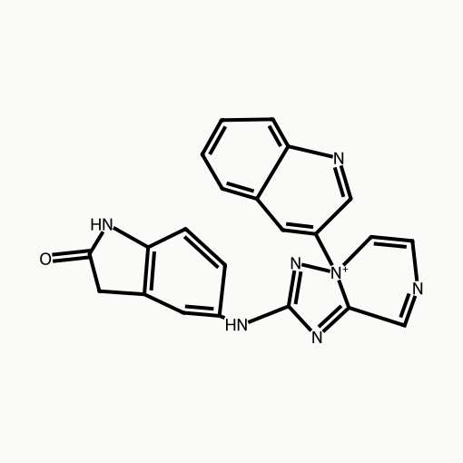 O=C1Cc2cc(NC3=N[N+]4(c5cnc6ccccc6c5)C=CN=CC4=N3)ccc2N1